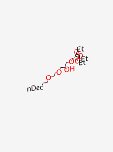 CCCCCCCCCCCCOCCOCC(O)COC[Si](OCC)(OCC)OCC